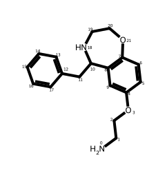 NCCOc1ccc2c(c1)C(Cc1ccccc1)NCCO2